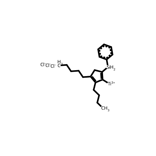 CCCCCC1=C(CCCC)[C]([Ti+3])=C([SiH2]c2ccccc2)C1.[Cl-].[Cl-].[Cl-]